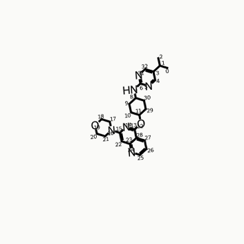 CC(C)c1cnc(NC2CCC(Oc3nc(N4CCOCC4)cc4ncccc34)CC2)nc1